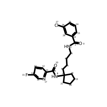 O=C(NCCCCC1(NC(=O)c2ccc(F)cn2)CCCC1)c1cccc(Cl)c1